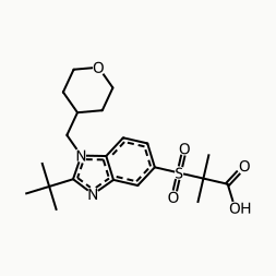 CC(C)(C)c1nc2cc(S(=O)(=O)C(C)(C)C(=O)O)ccc2n1CC1CCOCC1